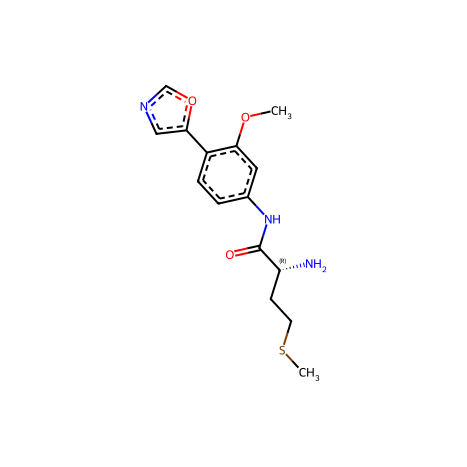 COc1cc(NC(=O)[C@H](N)CCSC)ccc1-c1cnco1